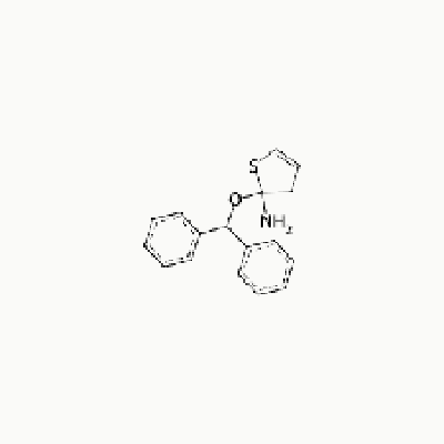 NC1(OC(c2ccccc2)c2ccccc2)CC=CS1